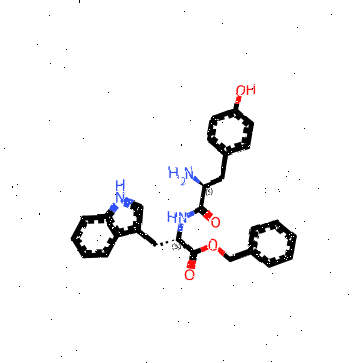 N[C@@H](Cc1ccc(O)cc1)C(=O)N[C@@H](Cc1c[nH]c2ccccc12)C(=O)OCc1ccccc1